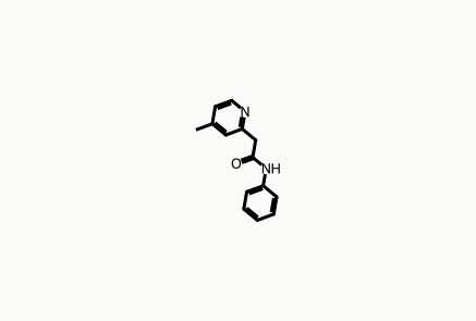 Cc1ccnc(CC(=O)Nc2ccccc2)c1